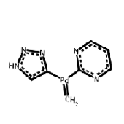 [CH2]=[Pd]([c]1c[nH]nn1)[c]1ncccn1